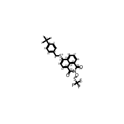 CC(C)(C)c1ccc(CSc2ccc3c4c(cccc24)C(=O)N(OSC(F)(F)F)C3=O)cc1